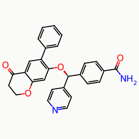 NC(=O)c1ccc([C@H](Oc2cc3c(cc2-c2ccccc2)C(=O)CCO3)c2ccncc2)cc1